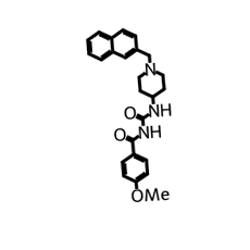 COc1ccc(C(=O)NC(=O)NC2CCN(Cc3ccc4ccccc4c3)CC2)cc1